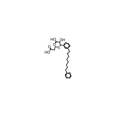 O=C(O)CCSC(c1cccc(CCCCCCCCc2ccccc2)c1)C(O)C(=O)O